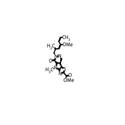 C=C(/C=C(\C=C/C)OC)Cn1ncc2c3sc(C(=O)OC)nc3n(C)c2c1=O